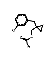 CC(C)C(=O)OCC1(Cc2cccc(Cl)c2)CC1